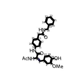 COc1cc(/C=C(/NC(C)=O)C(=O)Nc2ccc(CC(=O)NCc3ccccc3)cc2)ccc1O